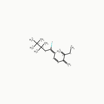 C=C(/C=C\C=C(\F)CC(C)(C)C(C)(C)C)C(=C)CC